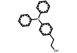 OCCc1ccc([S+](c2ccccc2)c2ccccc2)cc1